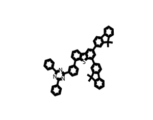 CC1(C)c2ccccc2-c2ccc(-c3cc(-c4ccc5c(c4)C(C)(C)c4ccccc4-5)c4sc5c(-c6cccc(-c7nc(-c8ccccc8)nc(-c8ccccc8)n7)c6)cccc5c4c3)cc21